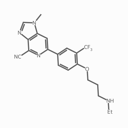 CCNCCCOc1ccc(-c2cc3c(ncn3C)c(C#N)n2)cc1C(F)(F)F